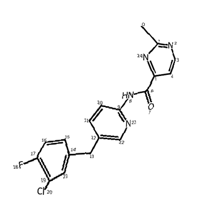 Cc1nccc(C(=O)Nc2ccc(Cc3ccc(F)c(Cl)c3)cn2)n1